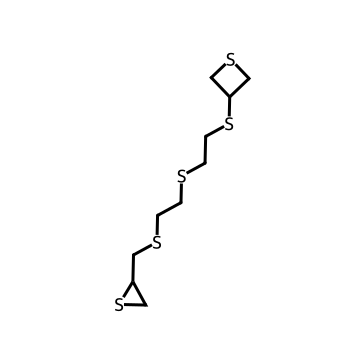 C(CSCC1CS1)SCCSC1CSC1